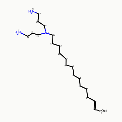 CCCCCCCCC=CCCCCCCCCCCCCN(CCCN)CCCN